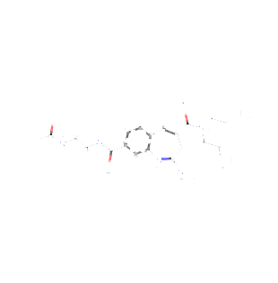 CCCN(CCC)C(=O)C1=Cc2ccc(C(=O)NCCNC(=O)O)cc2N=C(N)C1